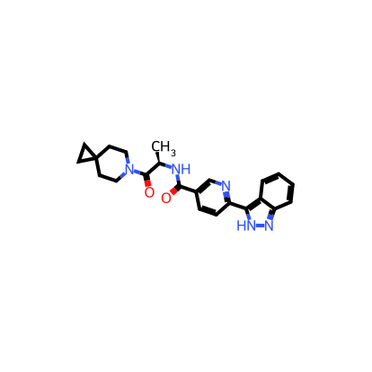 C[C@@H](NC(=O)c1ccc(-c2[nH]nc3ccccc23)nc1)C(=O)N1CCC2(CC1)CC2